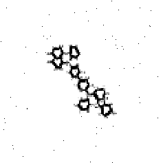 c1ccc(N(c2ccc(-c3ccc(N(c4ccccc4)c4cccc5c4oc4ccccc45)cc3)cc2)c2cccc3ccccc23)cc1